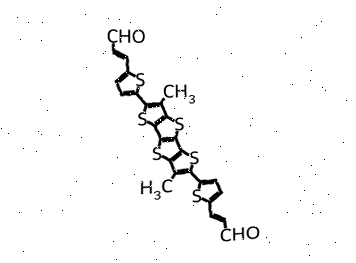 Cc1c(-c2ccc(/C=C/C=O)s2)sc2c1sc1c3sc(-c4ccc(/C=C/C=O)s4)c(C)c3sc21